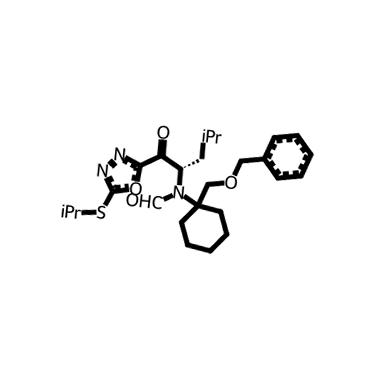 CC(C)C[C@@H](C(=O)c1nnc(SC(C)C)o1)N(C=O)C1(COCc2ccccc2)CCCCC1